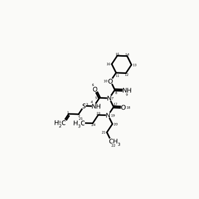 C=CCSNC(=O)N(C(=N)OC1CCCCC1)C(=O)N(CCC)CCC